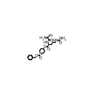 CC(C)[C@H](N)C(=O)NC(CCCNC(N)=O)C(=O)OC1CCN(C(=O)OCc2ccccc2)CC1